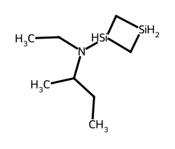 CCC(C)N(CC)[SiH]1C[SiH2]C1